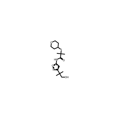 CC(C)(SC1CCOCC1)C(=O)Nc1cc(C(C)(C)CO)no1